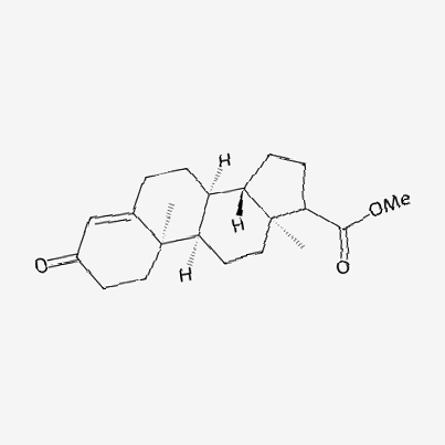 COC(=O)C1CC[C@H]2[C@@H]3CCC4=CC(=O)CC[C@]4(C)[C@@H]3CC[C@]12C